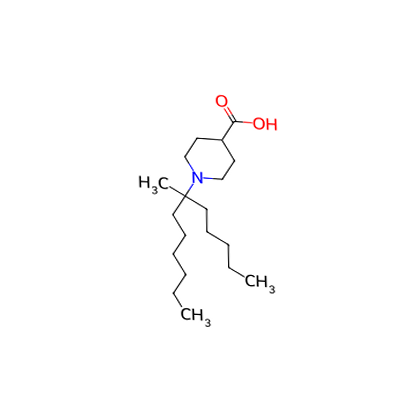 CCCCCCC(C)(CCCCC)N1CCC(C(=O)O)CC1